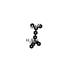 CN1c2cc3ccccc3cc2-c2c(sc3ccccc23)C1c1ccc(-c2ccc(-c3cc(-c4ccccn4)nc(-c4ccccn4)c3)cc2)cc1